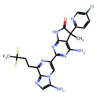 CC1(c2ccc(Cl)cn2)C(=O)Nc2nc(-c3cn4c(N)cnc4c(CCC(F)(F)C(F)(F)F)n3)nc(N)c21